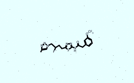 Cc1cn(CC(F)CCc2nnc(NC(=O)Cc3cccc(OC(F)(F)F)c3)s2)nn1